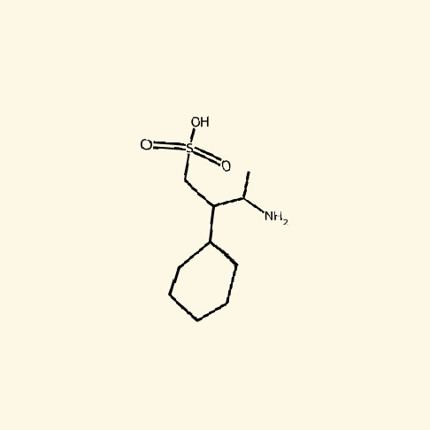 CC(N)C(CS(=O)(=O)O)C1CCCCC1